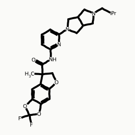 CC(C)CN1CC2CN(c3cccc(NC(=O)C4(C)COc5cc6c(cc54)OC(F)(F)O6)n3)CC2C1